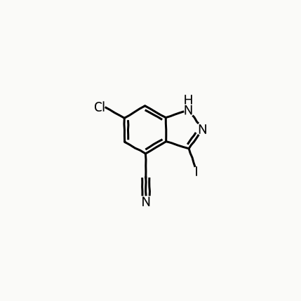 N#Cc1cc(Cl)cc2[nH]nc(I)c12